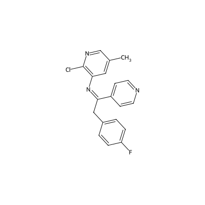 Cc1cnc(Cl)c(/N=C(/Cc2ccc(F)cc2)c2ccncc2)c1